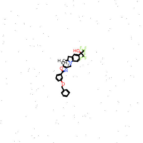 Cc1oc(-c2cccc(OCc3ccccc3)c2)nc1CN1c2ccc(C(O)(C(F)(F)F)C(F)(F)F)cc2CC1C